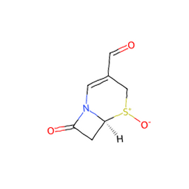 O=CC1=CN2C(=O)C[C@@H]2[S+]([O-])C1